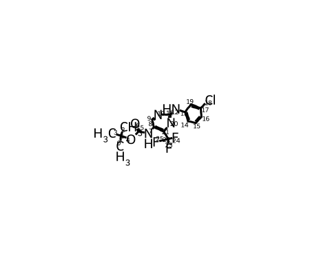 CC(C)(C)OC(=O)Nc1cnc(Nc2cccc(Cl)c2)nc1C(F)(F)F